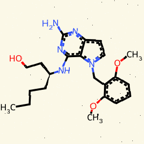 CCCC[C@@H](CCO)Nc1nc(N)nc2ccn(Cc3c(OC)cccc3OC)c12